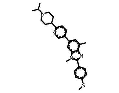 CSc1ccc(-c2nc3c(C)cc(-c4ccc(C5CCN(C(C)C)CC5)nc4)cc3n2C)cc1